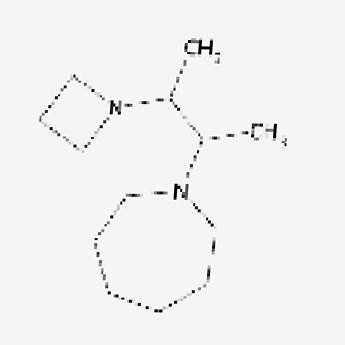 CC(C(C)N1CCC1)N1CCCCCC1